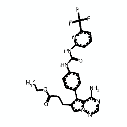 CCOC(=O)CCc1cn2ncnc(N)c2c1-c1ccc(NC(=O)Nc2cccc(C(F)(F)F)n2)cc1